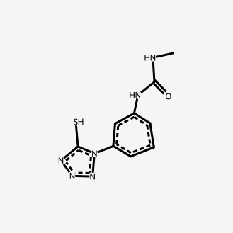 CNC(=O)Nc1cccc(-n2nnnc2S)c1